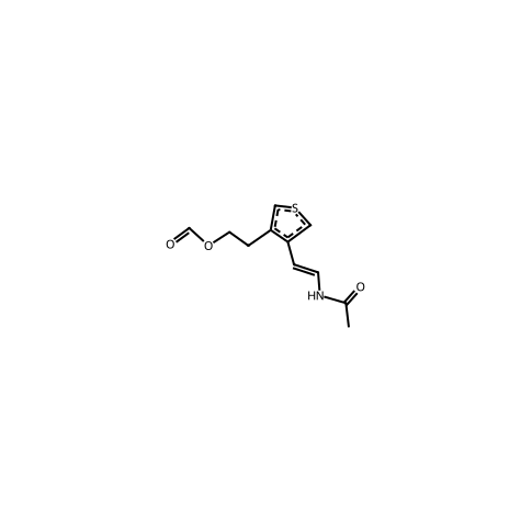 CC(=O)NC=Cc1cscc1CCOC=O